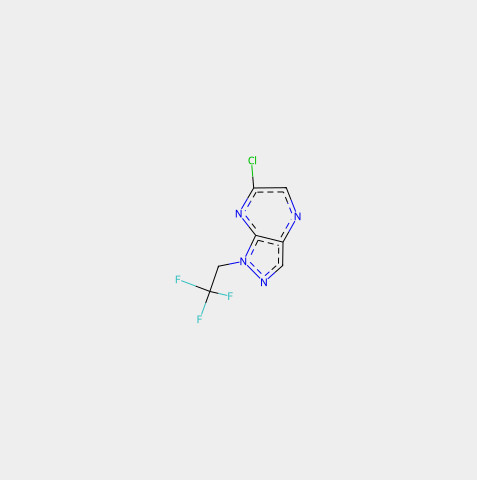 FC(F)(F)Cn1ncc2ncc(Cl)nc21